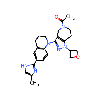 CC(=O)N1CCc2c(c(N3CCCc4cc(-c5nc(C)c[nH]5)ccc43)nn2C2COC2)C1